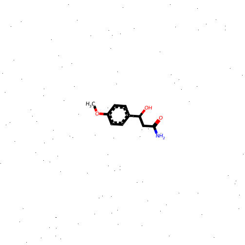 COc1ccc(C(O)CC(N)=O)cc1